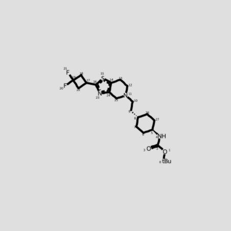 CC(C)(C)OC(=O)N[C@H]1CC[C@H](CCN2CCc3sc(C4CC(F)(F)C4)nc3C2)CC1